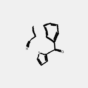 CCC#N.O=C(c1ccccc1)c1cccs1